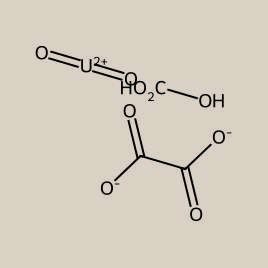 O=C(O)O.O=C([O-])C(=O)[O-].[O]=[U+2]=[O]